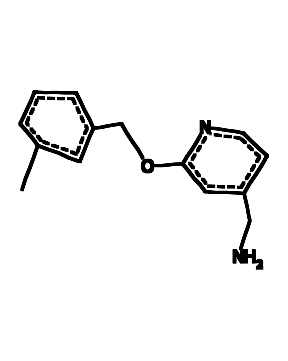 Cc1cccc(COc2cc(CN)ccn2)c1